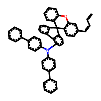 C=C/C=C\c1ccc2c(c1)Oc1ccccc1C21c2ccccc2-c2c(N(c3ccc(-c4ccccc4)cc3)c3ccc(-c4ccccc4)cc3)cccc21